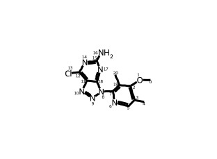 COc1c(C)cnc(-n2nnc3c(Cl)nc(N)nc32)c1C